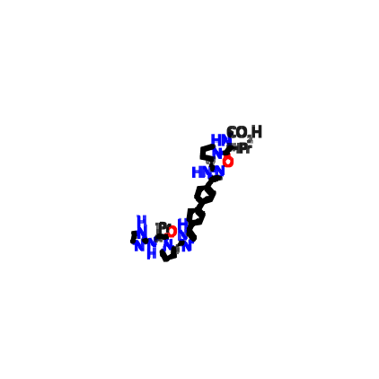 CC(C)[C@H](NC(=O)O)C(=O)N1CCC[C@H]1c1ncc(-c2ccc(-c3ccc(-c4cnc([C@@H]5CCCN5C(=O)[C@@H](NC5=NCCN5)C(C)C)[nH]4)cc3)cc2)[nH]1